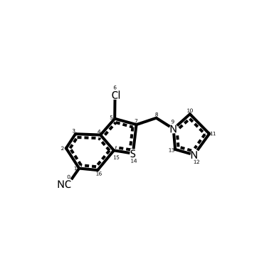 N#Cc1ccc2c(Cl)c(Cn3ccnc3)sc2c1